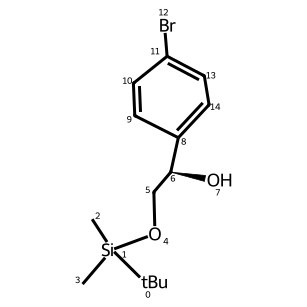 CC(C)(C)[Si](C)(C)OC[C@H](O)c1ccc(Br)cc1